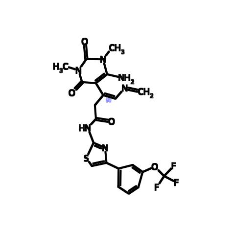 C=N/C=C(/CC(=O)Nc1nc(-c2cccc(OC(F)(F)F)c2)cs1)c1c(N)n(C)c(=O)n(C)c1=O